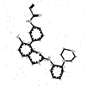 C=CC(=O)Nc1cccc(-c2c(Cl)ccc3cnc(Nc4ccccc4N4CCOCC4)nc23)c1